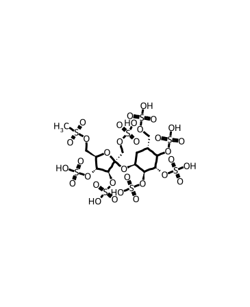 CS(=O)(=O)OC[C@H]1O[C@@](COS(=O)(=O)O)(O[C@H]2C[C@H](COS(=O)(=O)O)C(OS(=O)(=O)O)[C@H](OS(=O)(=O)O)[C@H]2OS(=O)(=O)O)[C@@H](OS(=O)(=O)O)[C@@H]1OS(=O)(=O)O